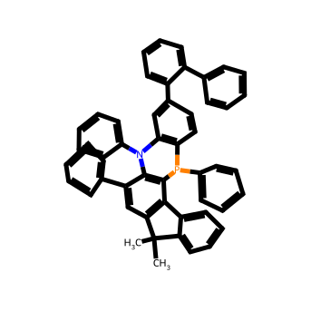 CC1(C)c2ccccc2-c2c1cc(-c1ccccc1)c1c2P(c2ccccc2)c2ccc(-c3ccccc3-c3ccccc3)cc2N1c1ccccc1